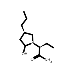 CCC[C@@H]1CC(O)N([C@@H](CC)C(N)=O)C1